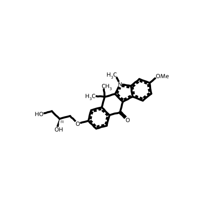 COc1ccc2c3c(n(C)c2c1)C(C)(C)c1cc(OC[C@@H](O)CO)ccc1C3=O